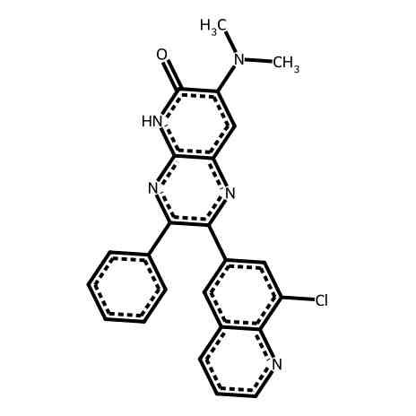 CN(C)c1cc2nc(-c3cc(Cl)c4ncccc4c3)c(-c3ccccc3)nc2[nH]c1=O